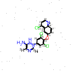 [2H]C1=NC([2H])=C(N)NN1c1cc(Cl)c(Oc2ccc3nccc(Cl)c3c2)c(Cl)c1